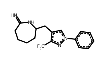 N=C1CCCCC(Cc2cn(-c3ccccc3)nc2C(F)(F)F)N1